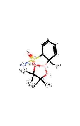 CCCCC1(B2OC(C)(C)C(C)(C)O2)C=CC=CC1S(N)(=O)=O